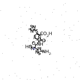 Nc1nc(/C(=N/O)C(=O)NC2C(=O)N3C(C(=O)O)=C(Sc4ncsn4)CCC23)ns1